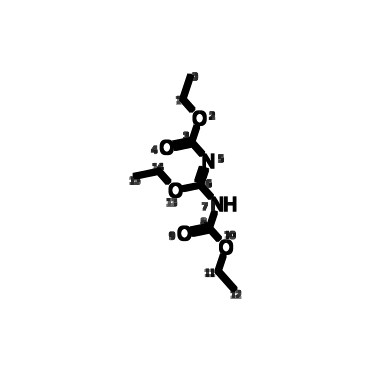 CCOC(=O)/N=C(/NC(=O)OCC)OCC